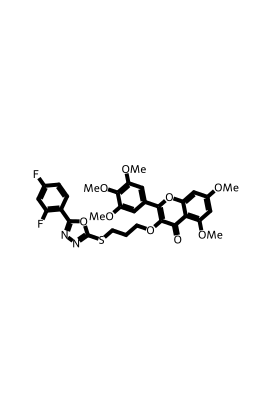 COc1cc(OC)c2c(=O)c(OCCCSc3nnc(-c4ccc(F)cc4F)o3)c(-c3cc(OC)c(OC)c(OC)c3)oc2c1